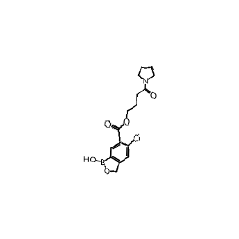 O=C(OCCCC(=O)N1CCCC1)c1cc2c(cc1Cl)COB2O